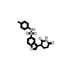 Cc1ccc(NS(=O)(=O)c2ccc3occ(C4CCC(=O)NC4=O)c3c2)cc1